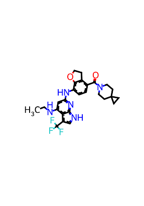 CCNc1cc(Nc2ccc(C(=O)N3CCC4(CC3)CC4)c3c2OCC3)nc2[nH]cc(C(F)(F)F)c12